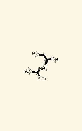 CC(C)N.CCC(=O)O